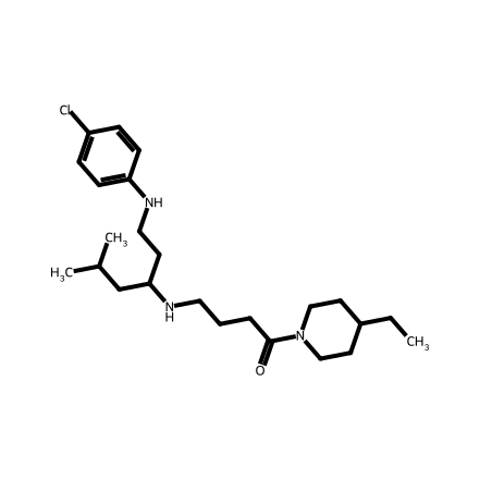 CCC1CCN(C(=O)CCCNC(CCNc2ccc(Cl)cc2)CC(C)C)CC1